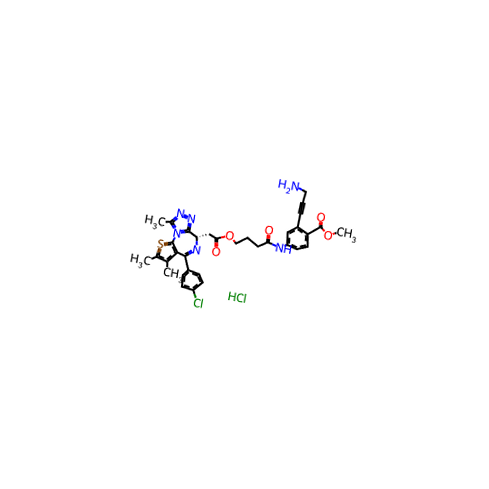 COC(=O)c1ccc(NC(=O)CCCOC(=O)C[C@@H]2N=C(c3ccc(Cl)cc3)c3c(sc(C)c3C)-n3c(C)nnc32)cc1C#CCN.Cl